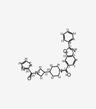 O=C(c1ccc2nc(-c3ccccc3)oc2c1)N1CCC(C2CN(C(=O)c3nccs3)C2)CC1